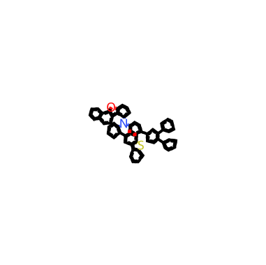 c1ccc(-c2ccc(-c3ccc(N(c4ccccc4-c4ccc5sc6ccccc6c5c4)c4cccc5oc6c7ccccc7ccc6c45)cc3)cc2-c2ccccc2)cc1